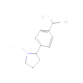 CC(C)c1ccc(C2CCCN2C)cc1